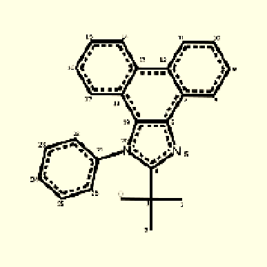 CC(C)(C)c1nc2c3ccccc3c3ccccc3c2n1-c1ccccc1